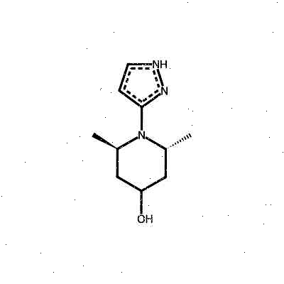 C[C@@H]1CC(O)C[C@@H](C)N1c1cc[nH]n1